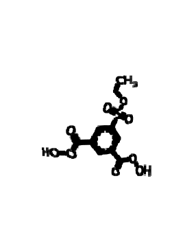 CCOS(=O)(=O)c1cc(C(=O)OO)cc(C(=O)OO)c1